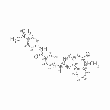 CN(C)c1ccc(NC(=O)c2ccc(Nc3ncc4c(n3)-c3ccccc3N(C)C(=O)C4)cc2)cc1